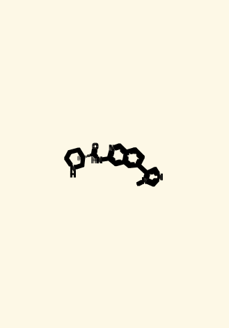 Cn1cncc1-c1ccc2cnc(NC(=O)[C@H]3CCCNC3)cc2c1